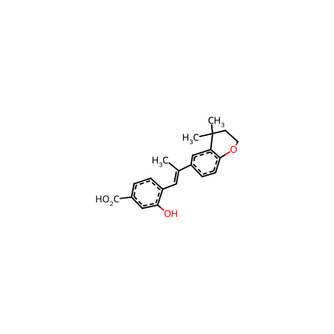 CC(=Cc1ccc(C(=O)O)cc1O)c1ccc2c(c1)C(C)(C)CCO2